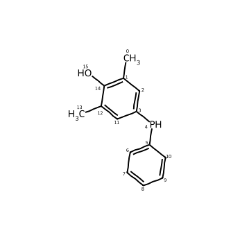 Cc1cc(Pc2ccccc2)cc(C)c1O